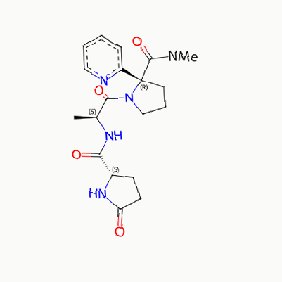 CNC(=O)[C@]1(c2ccccn2)CCCN1C(=O)[C@H](C)NC(=O)[C@@H]1CCC(=O)N1